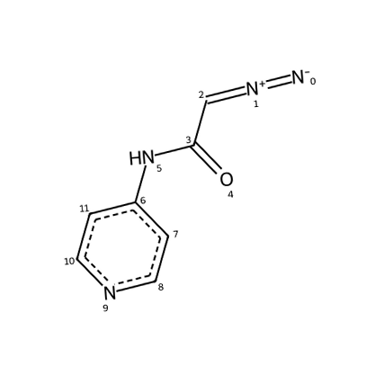 [N-]=[N+]=CC(=O)Nc1ccncc1